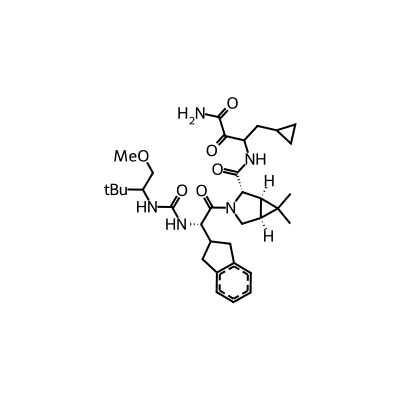 COCC(NC(=O)N[C@H](C(=O)N1C[C@H]2[C@@H]([C@H]1C(=O)NC(CC1CC1)C(=O)C(N)=O)C2(C)C)C1Cc2ccccc2C1)C(C)(C)C